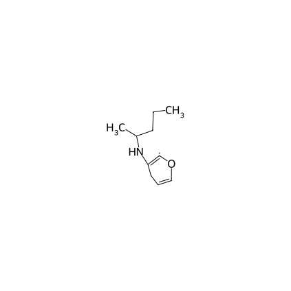 CCCC(C)NC1=[C]OC=CC1